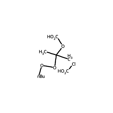 CCCCOOC(C)(C)OC(=O)O.O=C(O)Cl